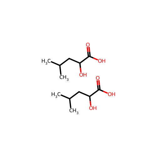 CC(C)CC(O)C(=O)O.CC(C)CC(O)C(=O)O